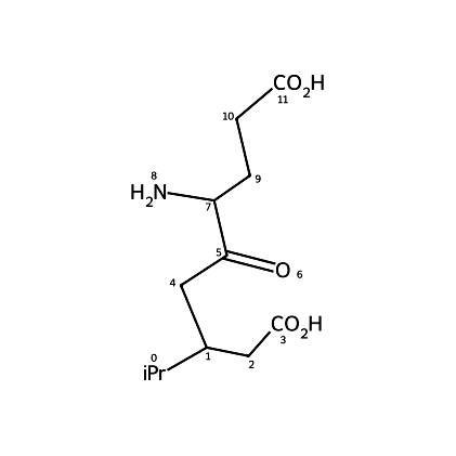 CC(C)C(CC(=O)O)CC(=O)C(N)CCC(=O)O